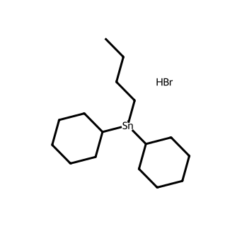 Br.CCC[CH2][Sn]([CH]1CCCCC1)[CH]1CCCCC1